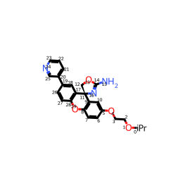 CC(C)OCCOc1ccc2c(c1)[C@]1(COC(N)=N1)c1cc(-c3cccnc3)ccc1O2